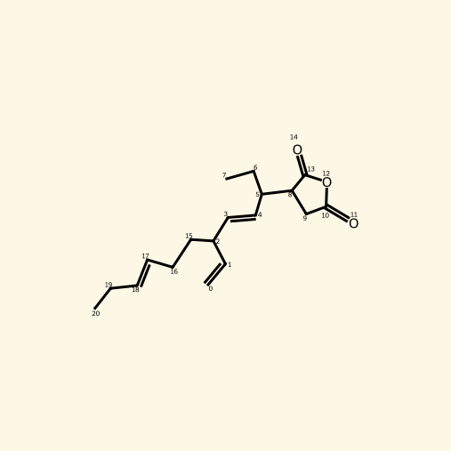 C=CC(C=CC(CC)C1CC(=O)OC1=O)CCC=CCC